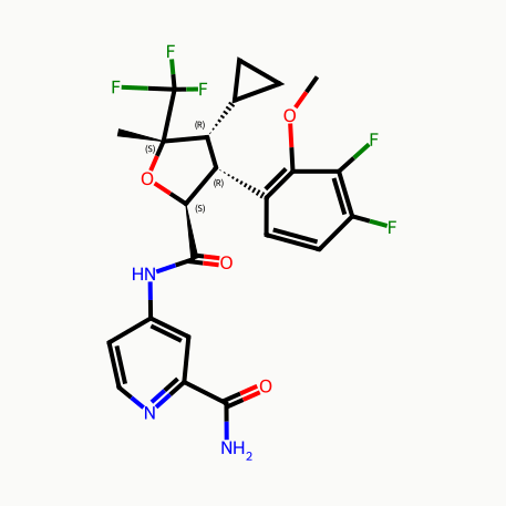 COc1c([C@@H]2[C@@H](C(=O)Nc3ccnc(C(N)=O)c3)O[C@](C)(C(F)(F)F)[C@@H]2C2CC2)ccc(F)c1F